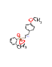 COc1ccc(/C=C/CS(=O)(=O)c2ccccc2C)cc1